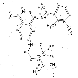 Cc1c(C#N)cccc1[C@@H](C)Nc1nnc(C)c2ccc(N3CC[C@@H](N(C)C)C(F)(F)C3)cc12